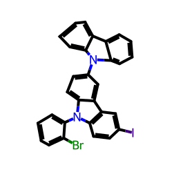 Brc1ccccc1-n1c2ccc(I)cc2c2cc(-n3c4ccccc4c4ccccc43)ccc21